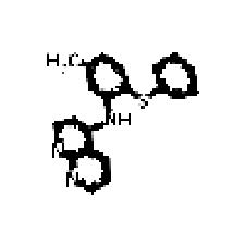 Cc1ccc(Sc2ccccc2)c(Nc2ccnc3ncccc23)c1